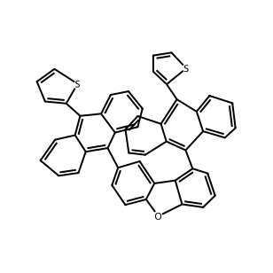 c1csc(-c2c3ccccc3c(-c3ccc4oc5cccc(-c6c7ccccc7c(-c7cccs7)c7ccccc67)c5c4c3)c3ccccc23)c1